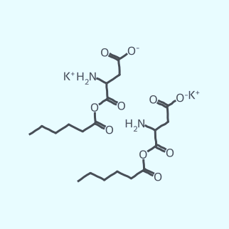 CCCCCC(=O)OC(=O)C(N)CC(=O)[O-].CCCCCC(=O)OC(=O)C(N)CC(=O)[O-].[K+].[K+]